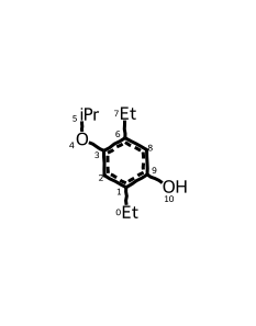 CCc1cc(OC(C)C)c(CC)cc1O